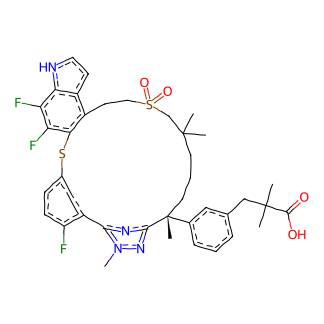 Cn1nc2nc1-c1cc(ccc1F)Sc1c(F)c(F)c3[nH]ccc3c1CCS(=O)(=O)CC(C)(C)CCC[C@]2(C)c1cccc(CC(C)(C)C(=O)O)c1